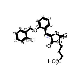 O=C(O)CCCN1C(=O)/C(=C/c2ccccc2OCc2ccccc2Cl)SC1=S